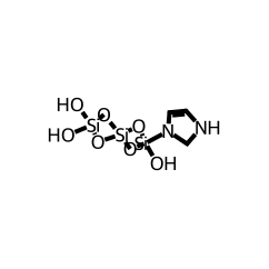 O[Si]1(O)O[Si]2(O1)O[Si](O)(N1C=CNC1)O2